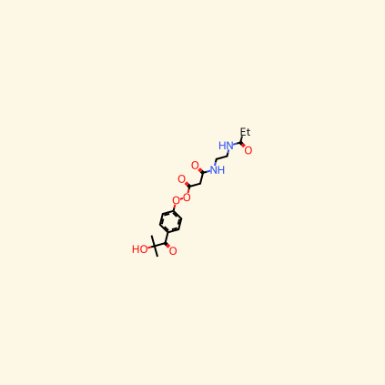 CCC(=O)NCCNC(=O)CC(=O)OOc1ccc(C(=O)C(C)(C)O)cc1